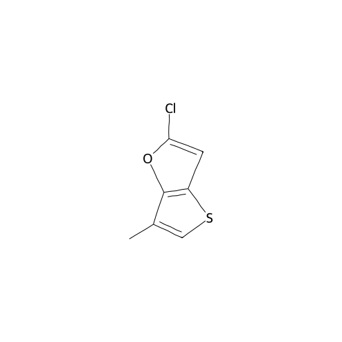 Cc1csc2cc(Cl)oc12